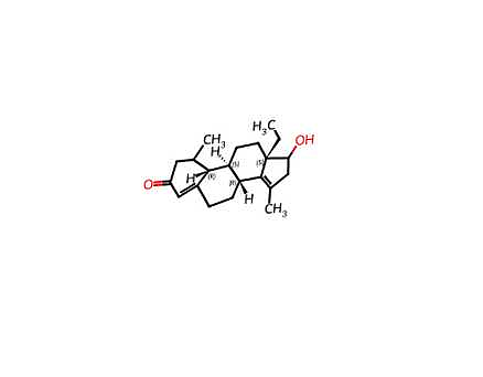 CC[C@]12CC[C@@H]3[C@@H]4C(=CC(=O)CC4C)CC[C@H]3C1=C(C)CC2O